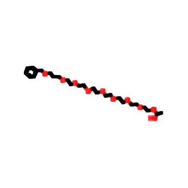 CC(O)OCCOCCOCCOCCOCCOCCOCCOCCCOCc1ccccc1